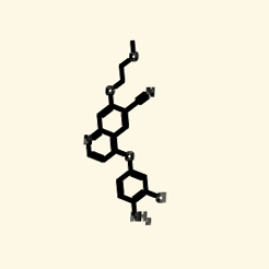 COCCOc1cc2nccc(Oc3ccc(N)c(Cl)c3)c2cc1C#N